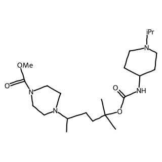 COC(=O)N1CCN(C(C)CCC(C)(C)OC(=O)NC2CCN(C(C)C)CC2)CC1